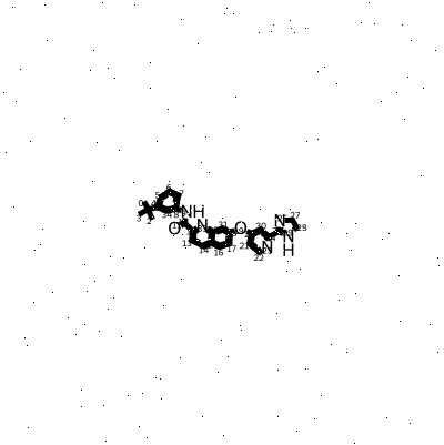 CC(C)(C)c1cccc(NC(=O)c2ccc3ccc(Oc4ccnc(C5=NCCN5)c4)cc3n2)c1